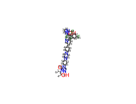 CCC([C@H](C)O)n1ncn(-c2ccc(N3CCN(c4ccc(-c5ccc(C(F)(F)C(O)(Cn6cccn6)c6ccc(F)cc6F)nc5)cc4)CC3)cc2)c1=O